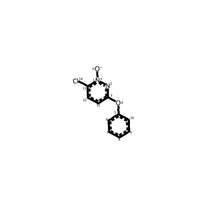 [O-][n+]1nc(Oc2ccccc2)ccc1Cl